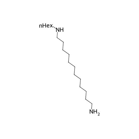 CCCCCCNCCCCCCCCCCCCN